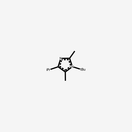 Cc1nc(C(C)C)c(C)n1C(C)(C)C